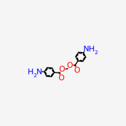 Nc1ccc(C(=O)OCOC(=O)c2ccc(N)cc2)cc1